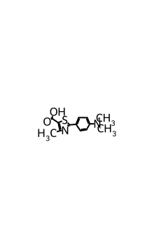 Cc1nc(-c2ccc(N(C)C)cc2)sc1C(=O)O